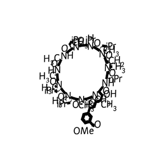 C=C1C(=O)N(C)[C@@H](CC(C)C)C(=O)N[C@H](C(C)C)C(=O)N(C)[C@H](CC(C)C)C(=O)N[C@H](C)C(=O)N[C@@H](C)C(=O)N(C)[C@@H](CC(C)C)C(=O)N(C)[C@@H](CC(C)C)C(=O)N(C)[C@@H](C(C)C)C(=O)N(C)[C@@H]([C@H](O)[C@H](C)CCCc2cccc(C(=O)OC)c2)C(=O)N[C@@H](CCC)C(=O)N1C